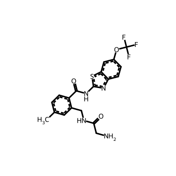 Cc1ccc(C(=O)Nc2nc3ccc(OC(F)(F)F)cc3s2)c(CNC(=O)CN)c1